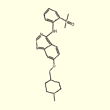 CN1CCC(COc2ccc3c(Nc4ccccc4P(C)(C)=O)ncnc3c2)CC1